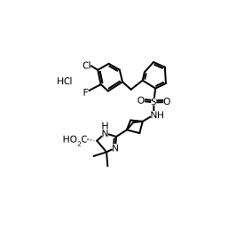 CC1(C)N=C(C23CC(NS(=O)(=O)c4ccccc4Cc4ccc(Cl)c(F)c4)(C2)C3)N[C@H]1C(=O)O.Cl